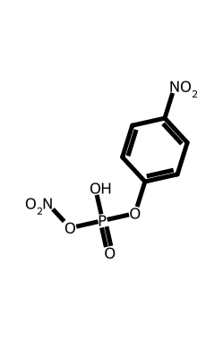 O=[N+]([O-])OP(=O)(O)Oc1ccc([N+](=O)[O-])cc1